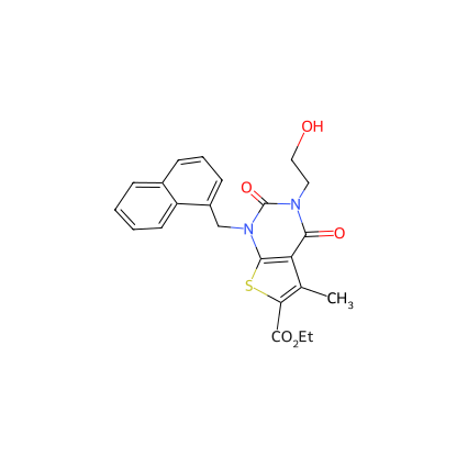 CCOC(=O)c1sc2c(c1C)c(=O)n(CCO)c(=O)n2Cc1cccc2ccccc12